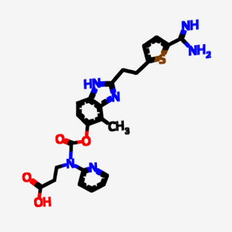 Cc1c(OC(=O)N(CCC(=O)O)c2ccccn2)ccc2[nH]c(CCc3ccc(C(=N)N)s3)nc12